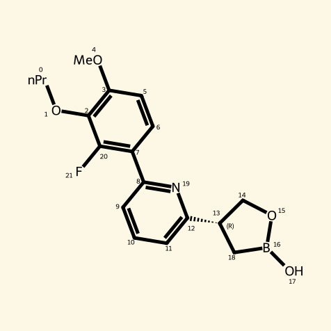 CCCOc1c(OC)ccc(-c2cccc([C@@H]3COB(O)C3)n2)c1F